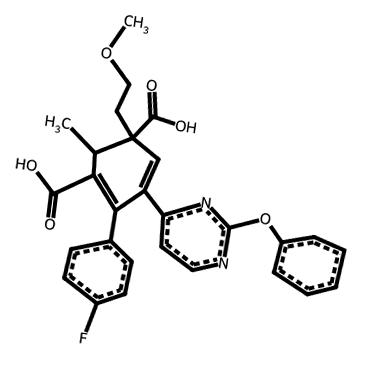 COCCC1(C(=O)O)C=C(c2ccnc(Oc3ccccc3)n2)C(c2ccc(F)cc2)=C(C(=O)O)C1C